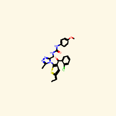 CCc1cc(C(=O)c2ccccc2Cl)c(-n2c(C)nnc2CNC(=O)Nc2ccc(OC)cc2)s1